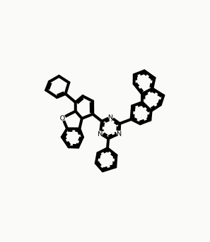 C1=CCCC(C2=CC=C(c3nc(-c4ccccc4)nc(-c4ccc5ccc6ccccc6c5c4)n3)C3c4ccccc4OC23)=C1